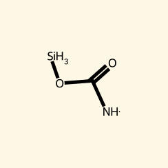 [NH]C(=O)O[SiH3]